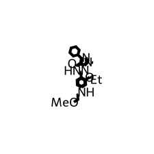 CCOc1cc(NCCOC)ccc1-c1nc2c(c(C3CCCCC3)nn2C)c(=O)[nH]1